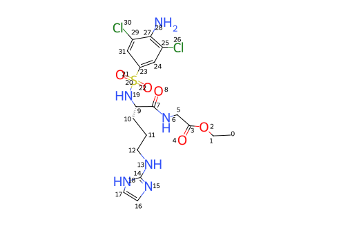 CCOC(=O)CNC(=O)[C@H](CCCNc1ncc[nH]1)NS(=O)(=O)c1cc(Cl)c(N)c(Cl)c1